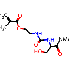 C=C(C)C(=O)OCCNC(=O)NC(CO)C(=O)NC